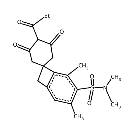 CCC(=O)C1C(=O)CC2(CC1=O)Cc1cc(C)c(S(=O)(=O)N(C)C)c(C)c12